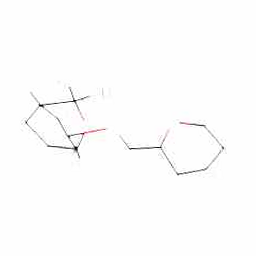 CCC12CCC(C)(OC1(C)C)C(OCC1CCCCO1)C2